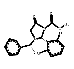 C[C@H](c1ccccc1)N1CC(=O)N(C(=O)OC(C)(C)C)[C@@H]1c1c(Cl)cccc1Cl